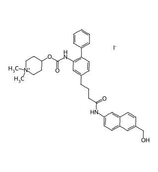 C[N+]1(C)CCC(OC(=O)Nc2cc(CCCC(=O)Nc3ccc4cc(CO)ccc4c3)ccc2-c2ccccc2)CC1.[I-]